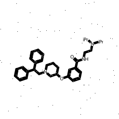 CC(C)N(CCNC(=O)c1cccc(OC2CCCN(CC(c3ccccc3)c3ccccc3)C2)c1)C(C)C